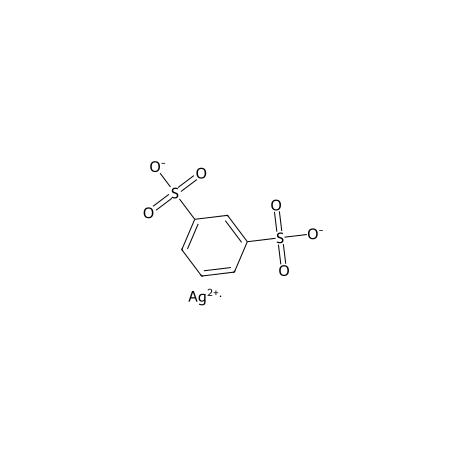 O=S(=O)([O-])c1cccc(S(=O)(=O)[O-])c1.[Ag+2]